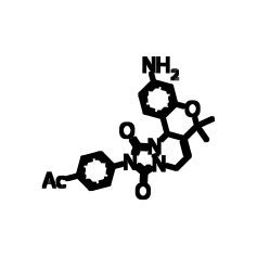 CC(=O)c1ccc(-n2c(=O)n3n(c2=O)C2C(=CC3)C(C)(C)Oc3cc(N)ccc32)cc1